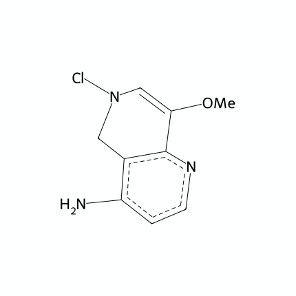 COC1=CN(Cl)Cc2c(N)ccnc21